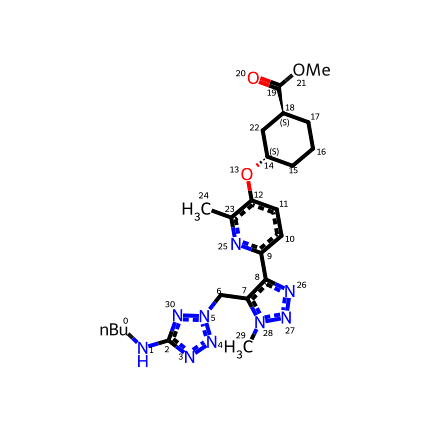 CCCCNc1nnn(Cc2c(-c3ccc(O[C@H]4CCC[C@H](C(=O)OC)C4)c(C)n3)nnn2C)n1